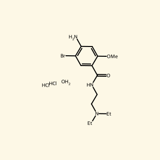 CCN(CC)CCNC(=O)c1cc(Br)c(N)cc1OC.Cl.Cl.O